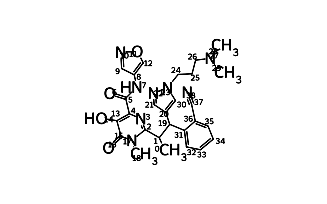 CC(c1nc(C(=O)Nc2cnoc2)c(O)c(=O)n1C)C(c1cnn(CCCN(C)C)c1)c1ccccc1C#N